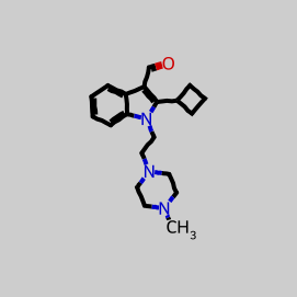 CN1CCN(CCn2c(C3CCC3)c(C=O)c3ccccc32)CC1